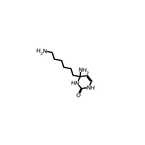 NCCCCCCC1(N)C=CNC(=O)N1